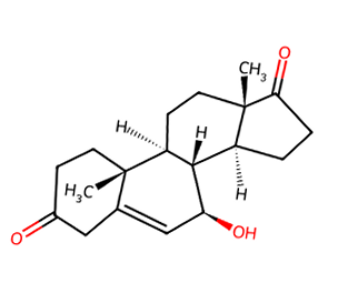 C[C@]12CCC(=O)CC1=C[C@H](O)[C@@H]1[C@@H]2CC[C@]2(C)C(=O)CC[C@@H]12